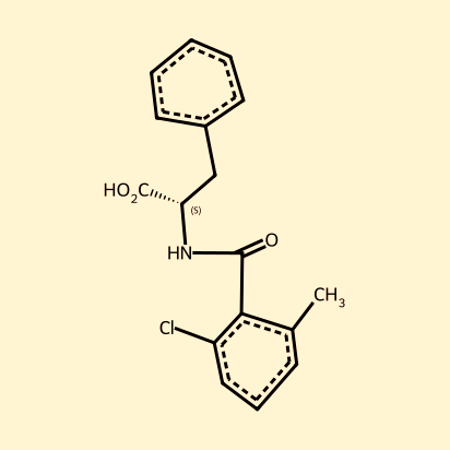 Cc1cccc(Cl)c1C(=O)N[C@@H](Cc1ccccc1)C(=O)O